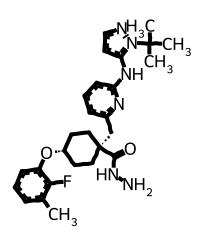 Cc1cccc(O[C@H]2CC[C@](Cc3cccc(Nc4ccnn4C(C)(C)C)n3)(C(=O)NN)CC2)c1F